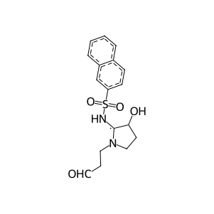 O=CCCN1CCC(O)[C]1NS(=O)(=O)c1ccc2ccccc2c1